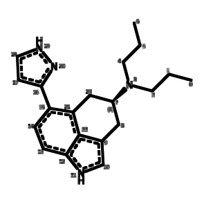 CCCN(CCC)[C@H]1Cc2c[nH]c3ccc(-c4cc[nH]n4)c(c23)C1